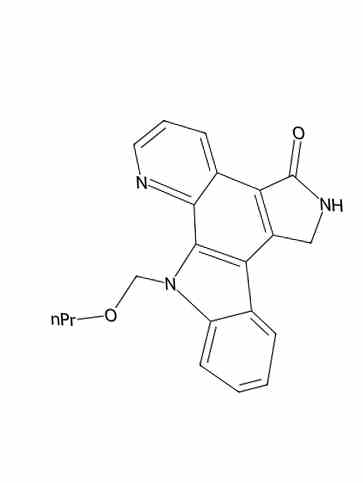 CCCOCn1c2ccccc2c2c3c(c4cccnc4c21)C(=O)NC3